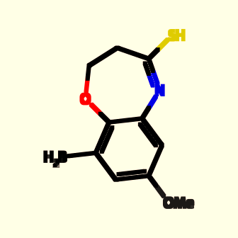 Bc1cc(OC)cc2c1OCCC(S)=N2